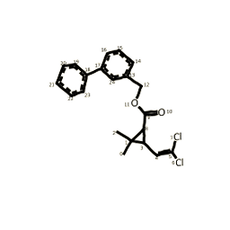 CC1(C)C(C=C(Cl)Cl)C1C(=O)OCc1cccc(-c2ccccc2)c1